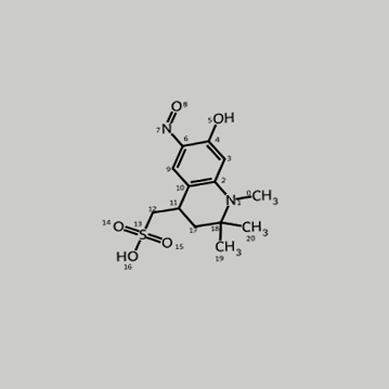 CN1c2cc(O)c(N=O)cc2C(CS(=O)(=O)O)CC1(C)C